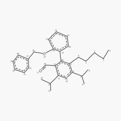 CCCCCc1c(C(C)C)nc(C(C)C)c(C=O)c1-c1ccccc1OCc1ccccc1